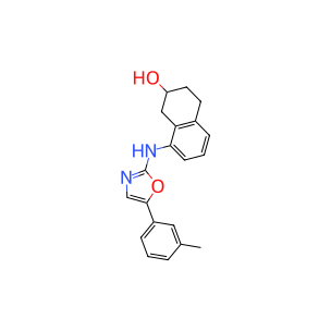 Cc1cccc(-c2cnc(Nc3cccc4c3CC(O)CC4)o2)c1